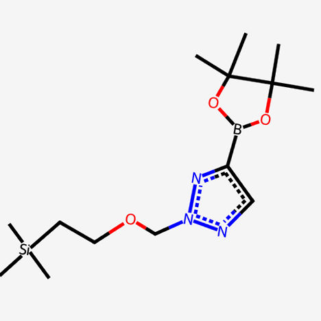 CC1(C)OB(c2cnn(COCC[Si](C)(C)C)n2)OC1(C)C